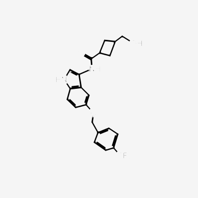 O=C(Nc1c[nH]c2ccc(OCc3ccc(C(F)(F)F)cc3)cc12)C1CC(CO)C1